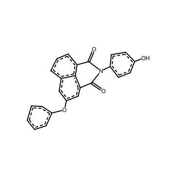 O=C1c2cccc3cc(Oc4ccccc4)cc(c23)C(=O)N1c1ccc(O)cc1